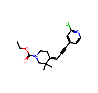 CCOC(=O)N1CC/C(=C\C#Cc2ccnc(Cl)c2)C(C)(C)C1